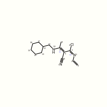 C=C/N=C(Cl)\C(C#N)=C(/C)NCC1CCCCC1